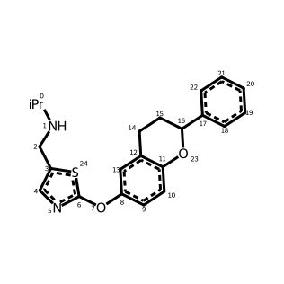 CC(C)NCc1cnc(Oc2ccc3c(c2)CCC(c2ccccc2)O3)s1